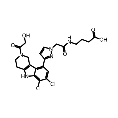 O=C(O)CCCNC(=O)Cn1ccc(-c2cc(Cl)c(Cl)c3[nH]c4c(c23)CN(C(=O)CO)CC4)n1